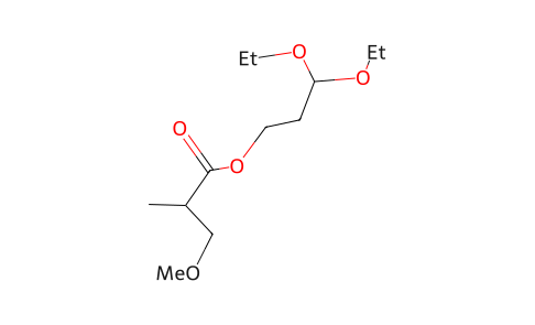 CCOC(CCOC(=O)C(C)COC)OCC